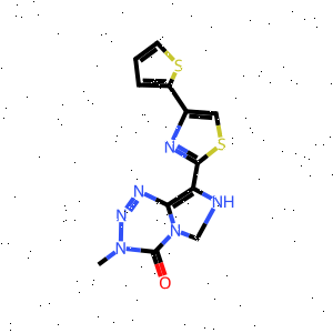 CN1N=NC2=C(c3nc(-c4cccs4)cs3)NCN2C1=O